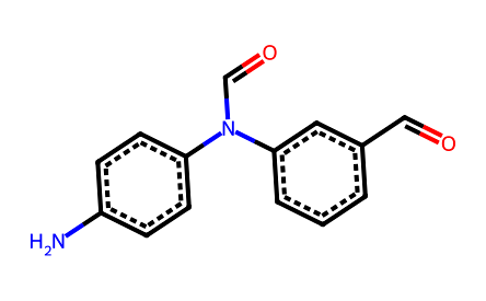 Nc1ccc(N(C=O)c2cccc(C=O)c2)cc1